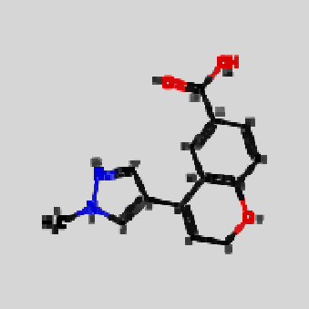 Cn1cc(C2=CCOc3ccc(C(=O)O)cc32)cn1